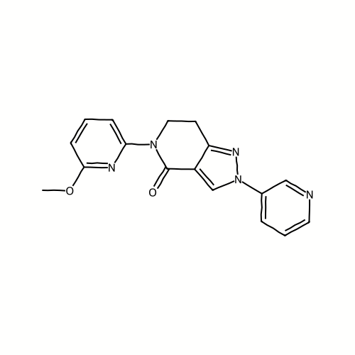 COc1cccc(N2CCc3nn(-c4cccnc4)cc3C2=O)n1